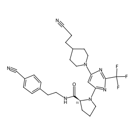 N#CCCC1CCN(c2cc(N3CCC[C@H]3C(=O)NCCc3ccc(C#N)cc3)nc(C(F)(F)F)n2)CC1